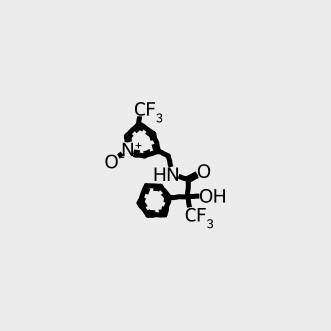 O=C(NCc1cc(C(F)(F)F)c[n+]([O-])c1)C(O)(c1ccccc1)C(F)(F)F